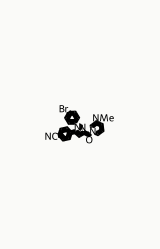 CN[C@@H]1CCCN(C(=O)c2cc(-c3ccc(C#N)cc3)n(-c3ccc(Br)cc3)n2)C1